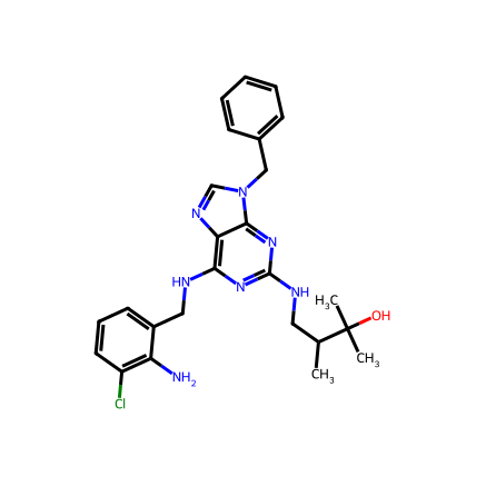 CC(CNc1nc(NCc2cccc(Cl)c2N)c2ncn(Cc3ccccc3)c2n1)C(C)(C)O